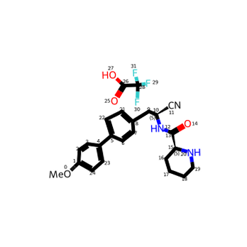 COc1ccc(-c2ccc(C[C@@H](C#N)NC(=O)[C@@H]3CCCCN3)cc2)cc1.O=C(O)C(F)(F)F